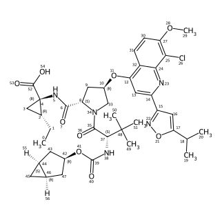 CC[C@@H]1C[C@]1(NC(=O)[C@@H]1C[C@@H](Oc2cc(-c3cc(C(C)C)on3)nc3c(Cl)c(OC)ccc23)CN1C(=O)[C@@H](NC(=O)O[C@@H]1C[C@@H]2C[C@@H]2C1)C(C)(C)C)C(=O)O